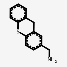 NCc1ccc2c(c1)Cc1ccccc1S2